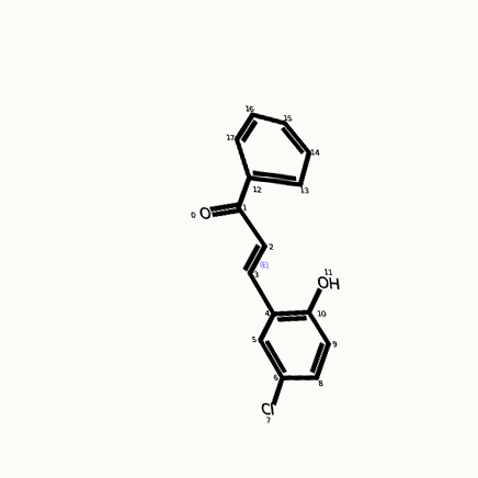 O=C(/C=C/c1cc(Cl)ccc1O)c1ccccc1